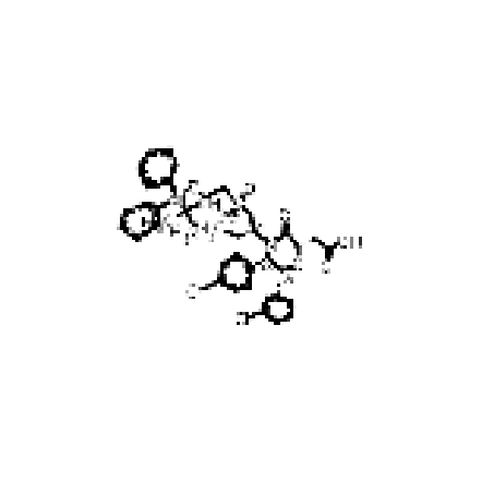 CC[C@@H](CS(=O)(=O)CCO[Si](c1ccccc1)(c1ccccc1)C(C)(C)C)N1C(=O)[C@H](CC(=O)O)O[C@H](c2cccc(Cl)c2)[C@H]1c1ccc(Cl)cc1